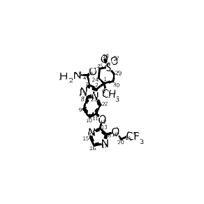 CC1(c2c(C(N)=O)nc3ccc(Oc4nccnc4OCC(F)(F)F)cn23)CCS(=O)(=O)CC1